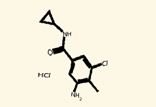 Cc1c(N)cc(C(=O)NC2CC2)cc1Cl.Cl